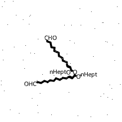 CCCCCCCOC(C=CCCCCCCCCCCC=O)OC(C=CCCCCCCCCCCC=O)OCCCCCCC